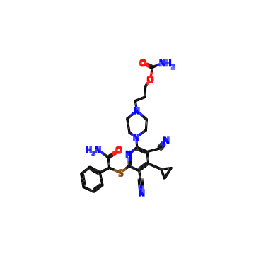 N#Cc1c(SC(C(N)=O)c2ccccc2)nc(N2CCN(CCCOC(N)=O)CC2)c(C#N)c1C1CC1